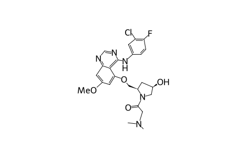 COc1cc(OC[C@H]2C[C@@H](O)CN2C(=O)CN(C)C)c2c(Nc3ccc(F)c(Cl)c3)ncnc2c1